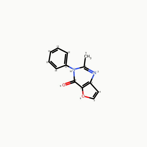 Cc1nc2ccoc2c(=O)n1-c1ccccc1